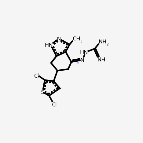 Cc1n[nH]c2c1/C(=N\NC(=N)N)CC(c1cc(Cl)sc1Cl)C2